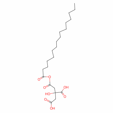 CCCCCCCCCCCCCCCC(=O)OC(=O)CC(O)(CC(=O)O)C(=O)O